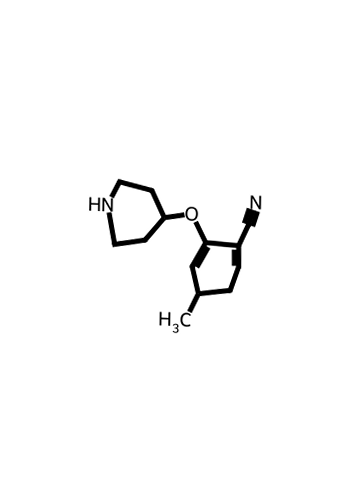 CC1C=C(OC2CCNCC2)C(C#N)=CC1